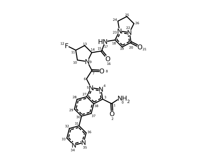 NC(=O)c1nn(CC(=O)N2CC(F)CC2C(=O)Nc2cc(=O)n3n2CCC3)c2ccc(-c3ccnnc3)cc12